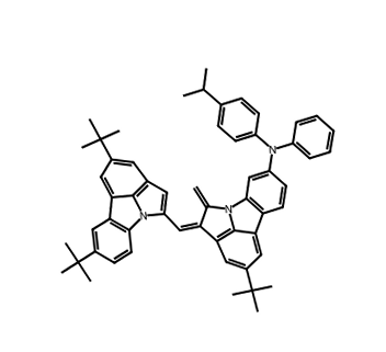 C=c1/c(=C\c2cc3cc(C(C)(C)C)cc4c5cc(C(C)(C)C)ccc5n2c34)c2cc(C(C)(C)C)cc3c4ccc(N(c5ccccc5)c5ccc(C(C)C)cc5)cc4n1c23